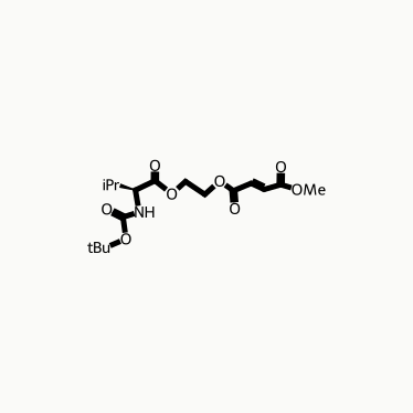 COC(=O)/C=C/C(=O)OCCOC(=O)[C@@H](NC(=O)OC(C)(C)C)C(C)C